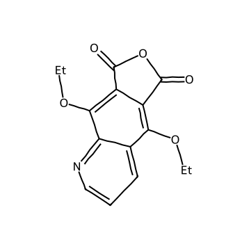 CCOc1c2c(c(OCC)c3ncccc13)C(=O)OC2=O